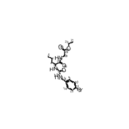 CCCC(NC(=O)Nc1ccc(Br)cc1)C(=O)NCC(=O)OCC